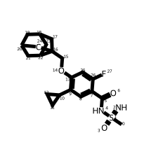 CS(=N)(=O)NC(=O)c1cc(C2CC2)c(OCC23CC4CC(CC2C4)C3)cc1F